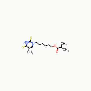 C=C(C)C(=O)OCCCCCCn1cc(C)c(=S)[nH]c1=S